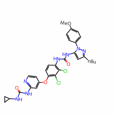 CCCCc1cc(NC(=O)Nc2ccc(Oc3ccnc(NC(=O)NC4CC4)c3)c(Cl)c2Cl)n(-c2ccc(OC)cc2)n1